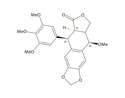 COc1cc([C@@H]2c3cc4c(cc3[C@H](OC)C3COC(=O)[C@@H]32)OCO4)cc(OC)c1OC